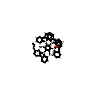 C=CCc1ccc2c3ccccc3n(-c3c(C#N)c(-n4c5ccccc5c5ccccc54)c(-n4c5ccccc5c5ccccc54)c(-n4c5ccccc5c5ccccc54)c3C#N)c2c1